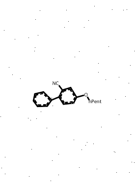 CCCCCOc1ccc(-c2ccccc2)c(C#N)c1